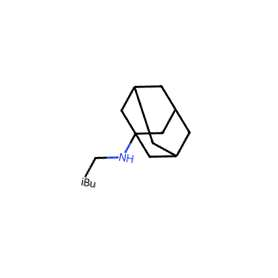 CCC(C)CNC12CC3CC(CC(C3)C1)C2